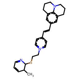 CC1C=CC=NC1SCC[n+]1ccc(/C=C/c2cc3c4c(c2)CCCN4CCC3)cc1